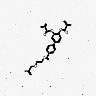 C=C(C)COCCOC(=O)c1ccc(-c2ccc(OC(=O)C(=C)C)c(OC(=O)C(=C)C)c2)cc1